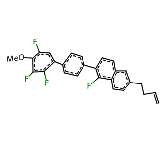 C=CCCc1ccc2c(F)c(-c3ccc(-c4cc(F)c(OC)c(F)c4F)cc3)ccc2c1